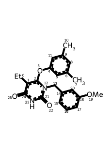 CCc1c(Oc2cc(C)cc(C)c2)n(Cc2cccc(OC)c2)c(=O)[nH]c1=O